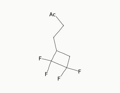 CC(=O)CCC1CC(F)(F)C1(F)F